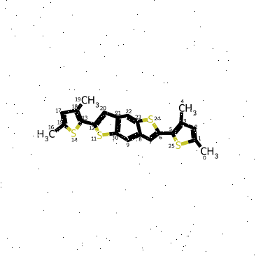 Cc1cc(C)c(-c2cc3cc4sc(-c5sc(C)cc5C)cc4cc3s2)s1